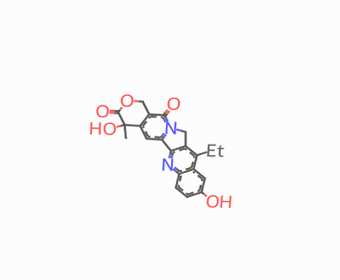 CCc1c2c(nc3ccc(O)cc13)-c1cc3c(c(=O)n1C2)COC(=O)C3(C)O